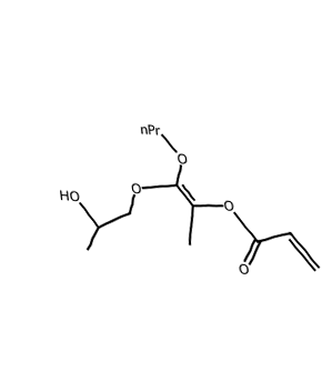 C=CC(=O)OC(C)=C(OCCC)OCC(C)O